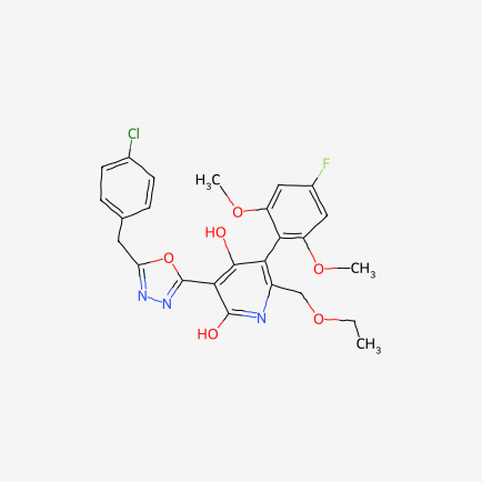 CCOCc1nc(O)c(-c2nnc(Cc3ccc(Cl)cc3)o2)c(O)c1-c1c(OC)cc(F)cc1OC